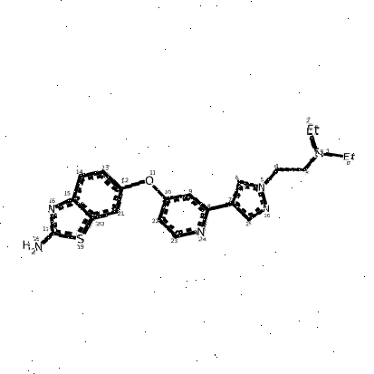 CCN(CC)CCn1cc(-c2cc(Oc3ccc4nc(N)sc4c3)ccn2)cn1